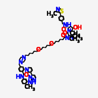 Cc1ccc(NC(=O)c2ccc(CN3CCN(CCCCCCOCCCCCOCCCCCC(=O)N[C@H](C(=O)N4C[C@H](O)C[C@H]4C(=O)NCc4ccc(-c5scnc5C)cc4)C(C)(C)C)CC3)cc2)cc1Nc1nccc(-c2cccnc2)n1